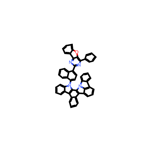 c1ccc(-c2nc(-c3ccc(-n4c5ccccc5c5c6ccccc6c6c7cccc8c9ccccc9n(c87)c6c54)c4ccccc34)nc3c2oc2ccccc23)cc1